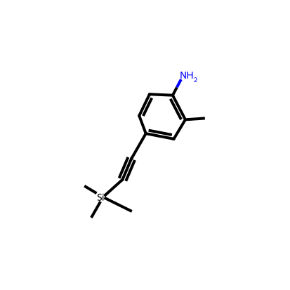 Cc1cc(C#C[Si](C)(C)C)ccc1N